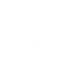 CC(=O)c1ccc(N)cc1C(=O)C(CCC=O)C(N)=O